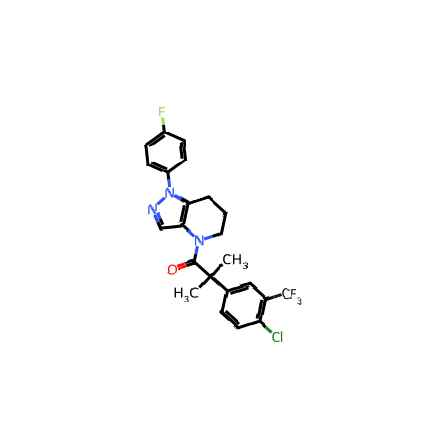 CC(C)(C(=O)N1CCCc2c1cnn2-c1ccc(F)cc1)c1ccc(Cl)c(C(F)(F)F)c1